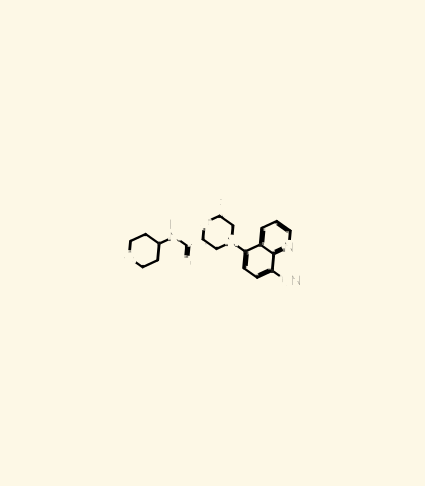 C[C@@H]1CN(c2ccc(C#N)c3ncccc23)C[C@H](C(=O)NC2CCOCC2)O1